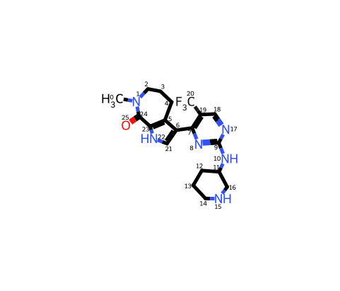 CN1CCCc2c(-c3nc(NC4CCCNC4)ncc3C(F)(F)F)c[nH]c2C1=O